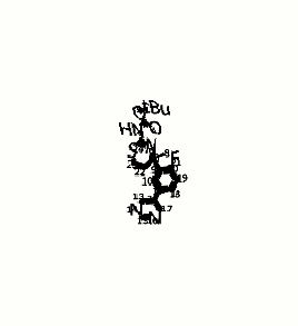 CC(C)(C)OC(=O)NC1=N[C@](C)(c2cc(-c3cncnc3)ccc2F)CCS1